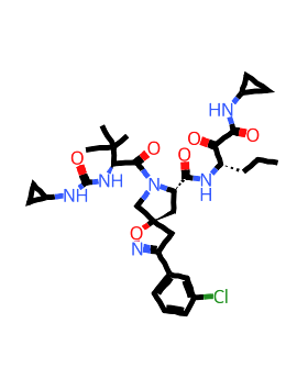 CCC[C@H](NC(=O)[C@@H]1C[C@]2(CC(c3cccc(Cl)c3)=NO2)CN1C(=O)[C@@H](NC(=O)NC1CC1)C(C)(C)C)C(=O)C(=O)NC1CC1